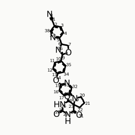 N#Cc1ccc(C2COC(c3ccc(Oc4ccc(N5CCCC56C(=O)NC(=O)NC6=O)cn4)cc3)=N2)nc1